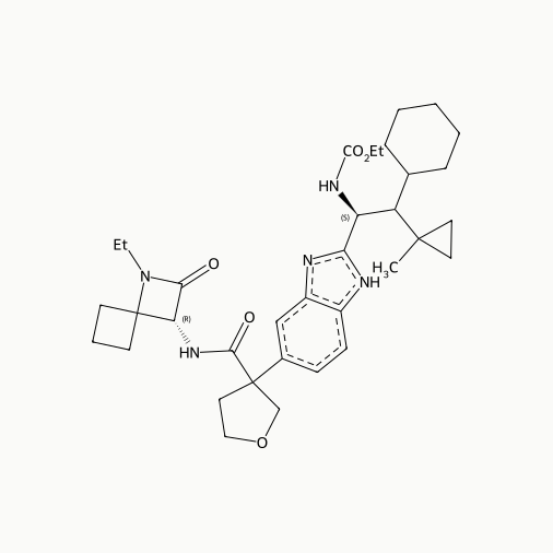 CCOC(=O)N[C@H](c1nc2cc(C3(C(=O)N[C@H]4C(=O)N(CC)C45CCC5)CCOC3)ccc2[nH]1)C(C1CCCCC1)C1(C)CC1